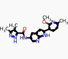 COc1nc(C)ccc1-c1cc2cc(NC(=O)c3[nH]nc(C)c3C)cnc2[nH]1